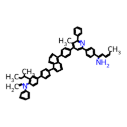 C=CN(c1ccccc1)c1ccc(-c2ccc(-c3cccc4c(-c5ccc(-c6cc(-c7ccc(/C(N)=C/C=C\C)cc7)nc(-c7ccccc7)c6C)cc5)cccc34)cc2)cc1C(C)CC